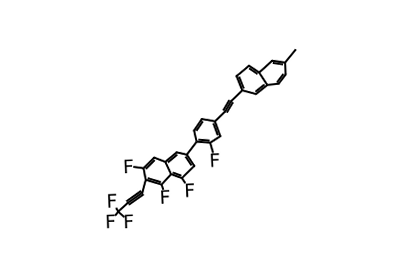 Cc1ccc2cc(C#Cc3ccc(-c4cc(F)c5c(F)c(C#CC(F)(F)F)c(F)cc5c4)c(F)c3)ccc2c1